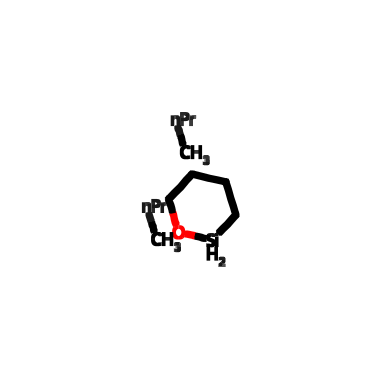 C1CC[SiH2]OC1.CCCC.CCCC